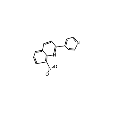 O=[N+]([O-])c1cccc2ccc(-c3ccncc3)nc12